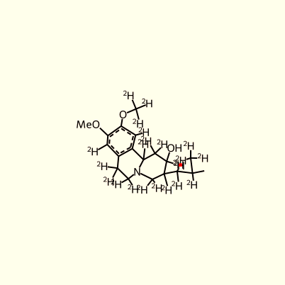 [2H]c1c(OC)c(OC([2H])([2H])[2H])c([2H])c2c1C([2H])([2H])C([2H])([2H])N1C([2H])([2H])C([2H])(C([2H])([2H])C([2H])(C)C([2H])([2H])[2H])C([2H])(O)C([2H])([2H])C21[2H]